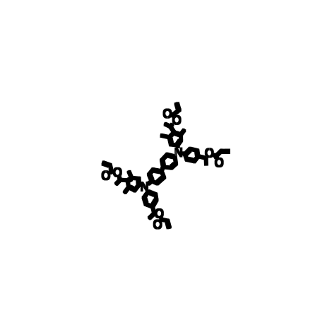 C=CC(=O)OC(C)c1ccc(N(c2ccc(-c3ccc(N(c4ccc(C(C)OC(=O)C=C)cc4)c4cc(C)c(C(C)OC(=O)C=C)c(C)c4)cc3)cc2)c2cc(C)c(C(C)OC(=O)C=C)c(C)c2)cc1